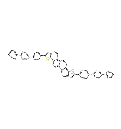 c1ccc(-c2ccc(-c3ccc(-c4cc5ccc6c7ccc8c(ccc9cc(-c%10ccc(-c%11ccc(-c%12ccccc%12)cc%11)cc%10)sc98)c7ccc6c5s4)cc3)cc2)cc1